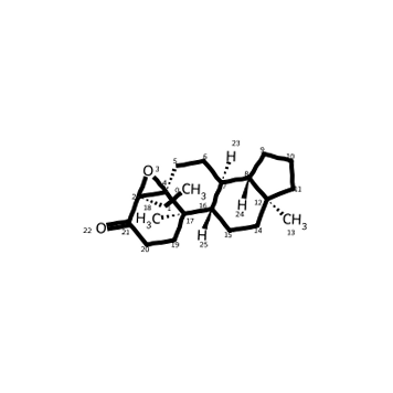 CC[C@]12O[C@]13CC[C@H]1[C@@H]4CCC[C@@]4(C)CC[C@@H]1[C@@]3(C)CCC2=O